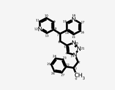 CC(Cn1cc(CC(c2cccnc2)c2cccnc2)nn1)c1ccccc1